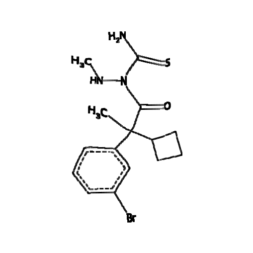 CNN(C(=O)C(C)(c1cccc(Br)c1)C1CCC1)C(N)=S